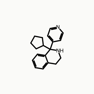 c1ccc2c(c1)CCNC2(c1ccncc1)C1CCCC1